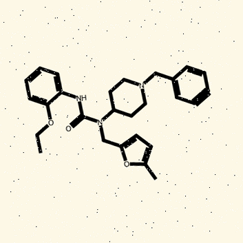 CCOc1ccccc1NC(=O)N(Cc1ccc(C)o1)C1CCN(Cc2cc#ccc2)CC1